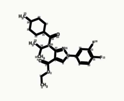 CCOC(=O)c1cn(-c2ccc(F)c(F)c2)nc1N(C(=O)C1CCC(C)CC1)C(C)C